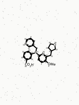 COc1ccc(N(Cc2cccnc2)c2cccc(C(=O)O)c2)nc1CC1CCOC1